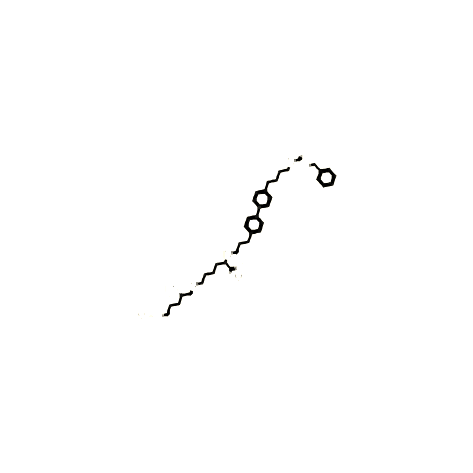 COC(=O)CCC(N)C(=O)NCCCCC(NC(=O)CCc1ccc(-c2ccc(CCCCNC(=O)OCc3ccccc3)cc2)cc1)C(=O)OC